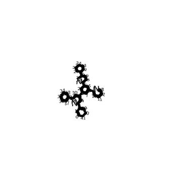 C1=CC(c2cc(-c3cc(-c4ccccn4)cc(-c4ccc(-c5ccccc5)cn4)c3)cc(-c3ccccc3)n2)=CCC1